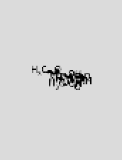 CCCC(N)C(=O)OCC(OC)C(O)C(O)n1ncc(=O)[nH]c1=O